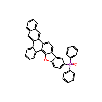 O=P(c1ccccc1)(c1ccccc1)c1ccc2oc3c(ccc4c5cc6ccccc6cc5c5ccccc5c43)c2c1